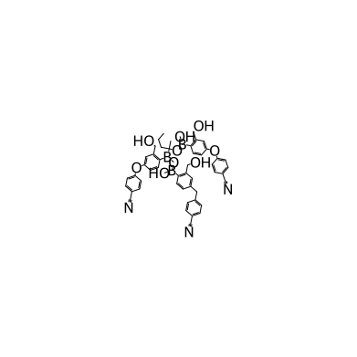 CCCC(C)(OB(O)c1ccc(Oc2ccc(C#N)cc2)cc1CO)B(OB(O)c1ccc(Cc2ccc(C#N)cc2)cc1CO)c1ccc(Oc2ccc(C#N)cc2)cc1CO